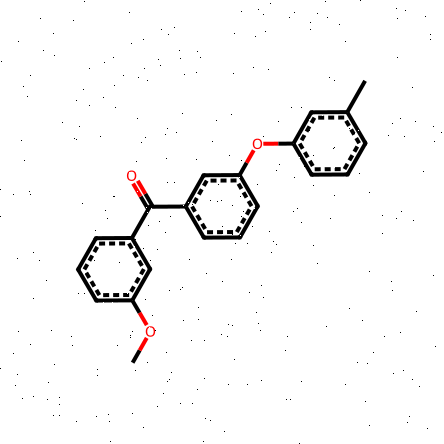 COc1cccc(C(=O)c2cccc(Oc3cccc(C)c3)c2)c1